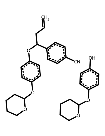 C=CCC(Oc1ccc(OC2CCCCO2)cc1)c1ccc(C#N)cc1.Oc1ccc(OC2CCCCO2)cc1